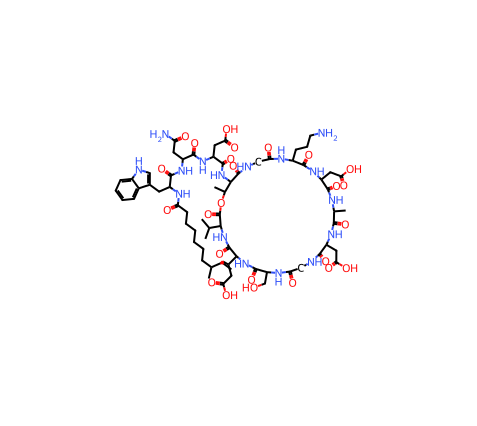 CCC(C)CCCCCCC(=O)NC(Cc1c[nH]c2ccccc12)C(=O)NC(CC(N)=O)C(=O)NC(CC(=O)O)C(=O)NC1C(=O)NCC(=O)NC(CCCN)C(=O)NC(CC(=O)O)C(=O)NC(C)C(=O)NC(CC(=O)O)C(=O)NCC(=O)NC(CO)C(=O)NC(C(C)CC(=O)O)C(=O)NC(C(C)C)C(=O)OC1C